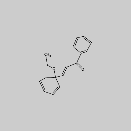 CCOC1(C=CC(=O)c2ccccc2)C=CC=CC1